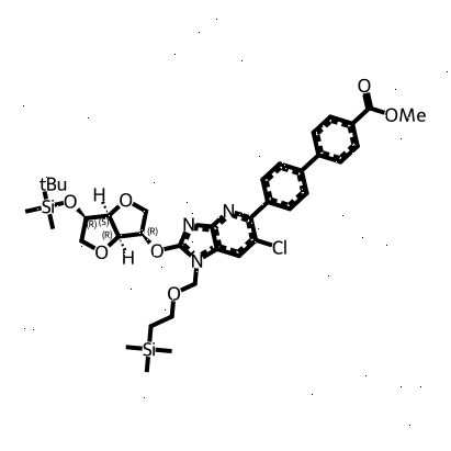 COC(=O)c1ccc(-c2ccc(-c3nc4nc(O[C@@H]5CO[C@H]6[C@@H]5OC[C@H]6O[Si](C)(C)C(C)(C)C)n(COCC[Si](C)(C)C)c4cc3Cl)cc2)cc1